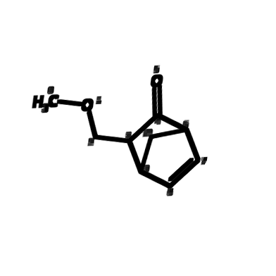 COCC1C(=O)C2C=CC1C2